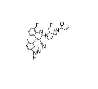 C=CC(=O)N1CC2(CCN(c3nc4c(F)cccc4c(-c4c(C)ccc5[nH]ncc45)c3C#N)C2CF)C1